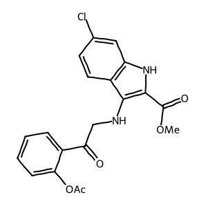 COC(=O)c1[nH]c2cc(Cl)ccc2c1NCC(=O)c1ccccc1OC(C)=O